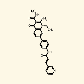 CCn1c(N)c(C(=O)NC)c(=O)c2ccc(-c3ccc(NC(=O)C=Cc4cccnc4)cc3)nc21